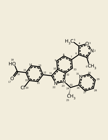 Cc1noc(C)c1-c1ccc2c(-c3ccc(C(=O)O)c(Cl)c3)nn([C@@H](C)c3ccccn3)c2c1